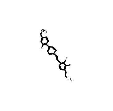 CCCc1ccc(C#Cc2ccc(-c3ccc(CC)cc3F)cc2)c(F)c1F